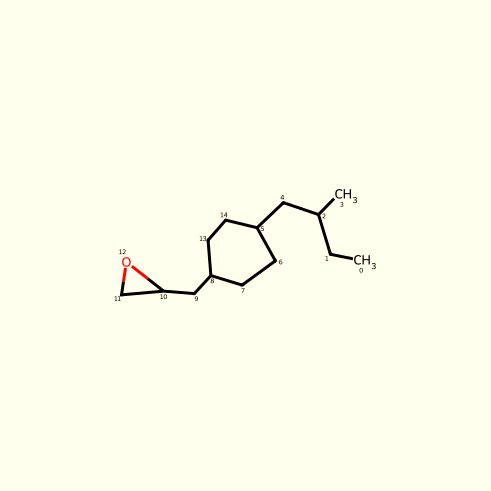 CCC(C)CC1CCC(CC2CO2)CC1